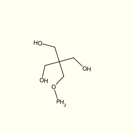 OCC(CO)(CO)COP